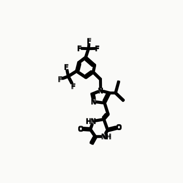 C=c1[nH]c(=O)c(=Cc2ncn(Cc3cc(C(F)(F)F)cc(C(F)(F)F)c3)c2C(C)C)[nH]c1=O